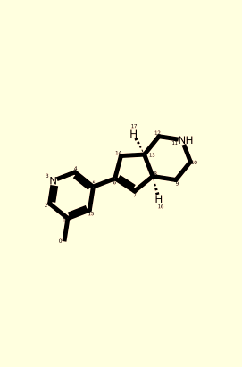 Cc1cncc(C2=C[C@@H]3CCNC[C@@H]3C2)c1